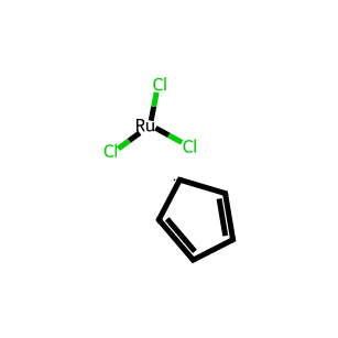 [CH]1C=CC=C1.[Cl][Ru]([Cl])[Cl]